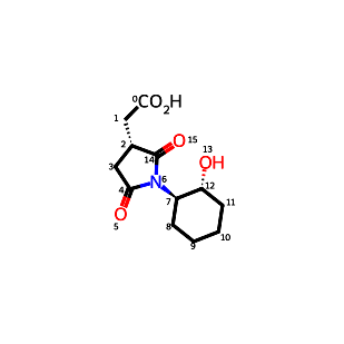 O=C(O)C[C@H]1CC(=O)N([C@@H]2CCCC[C@H]2O)C1=O